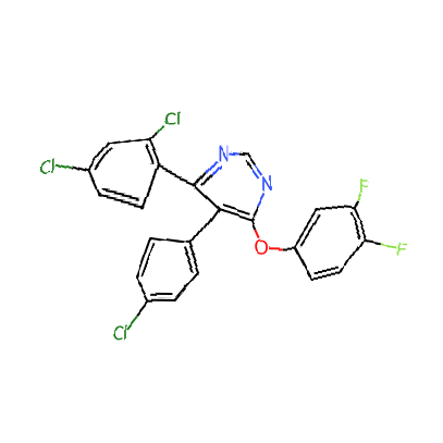 Fc1ccc(Oc2ncnc(-c3ccc(Cl)cc3Cl)c2-c2ccc(Cl)cc2)cc1F